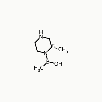 CB(O)N1CCNC[C@@H]1C